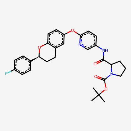 CC(C)(C)OC(=O)N1CCCC1C(=O)Nc1ccc(Oc2ccc3c(c2)CC[C@@H](c2ccc(F)cc2)O3)nc1